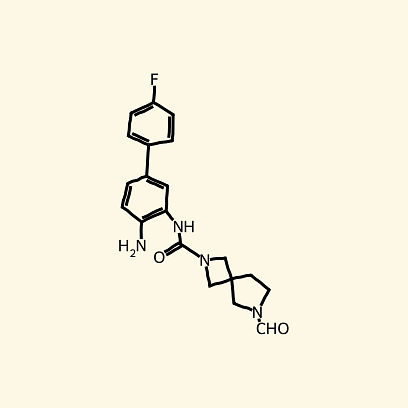 Nc1ccc(-c2ccc(F)cc2)cc1NC(=O)N1CC2(CCN(C=O)C2)C1